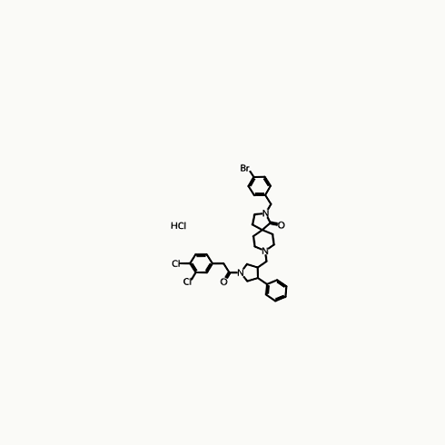 Cl.O=C(Cc1ccc(Cl)c(Cl)c1)N1CC(CN2CCC3(CC2)CCN(Cc2ccc(Br)cc2)C3=O)C(c2ccccc2)C1